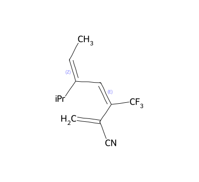 C=C(C#N)/C(=C\C(=C/C)C(C)C)C(F)(F)F